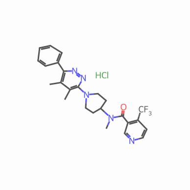 Cc1c(-c2ccccc2)nnc(N2CCC(N(C)C(=O)c3cnccc3C(F)(F)F)CC2)c1C.Cl